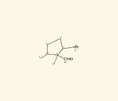 CC(C)C1CCC(C)C1(C)C=O